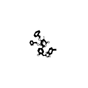 CC[C@H]1O[C@@H](c2ccc(Cl)c(Cc3nnc4cc(C)ccc4n3)c2)[C@H](OCc2ccccc2)[C@@H](OCc2ccccc2)[C@@H]1C